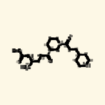 CC(C)COC(=O)NC(CNC(=O)[C@@H]1CCCN(C(=O)CCC2CCNCC2)C1)C(=O)O